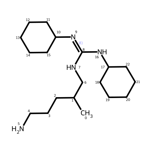 CC(CCCN)CN/C(=N\C1CCCCC1)NC1CCCCC1